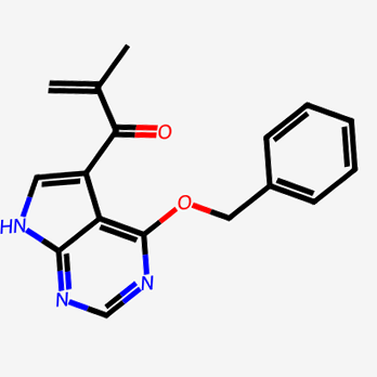 C=C(C)C(=O)c1c[nH]c2ncnc(OCc3ccccc3)c12